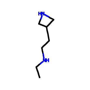 CCNCCC1CNC1